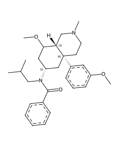 COc1cccc([C@@]23CCN(C)C[C@H]2C(OC)C[C@@H](N(CC(C)C)C(=O)c2ccccc2)C3)c1